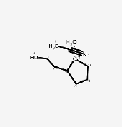 CC#N.O.OCCC1CCCO1